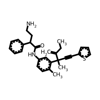 C=C(CC)C(C)(C#Cc1cccs1)c1cc(NC(=O)C(CCN)c2ccccc2)ccc1C